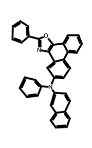 c1ccc(-c2nc3c4cc(N(c5ccccc5)c5ccc6ccccc6c5)ccc4c4ccccc4c3o2)cc1